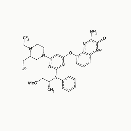 COC[C@H](C)N(c1ccccc1)c1nc(Oc2cccc3[nH]c(=O)c(N)nc23)cc(N2CCN(CC(F)(F)F)C(CC(C)C)C2)n1